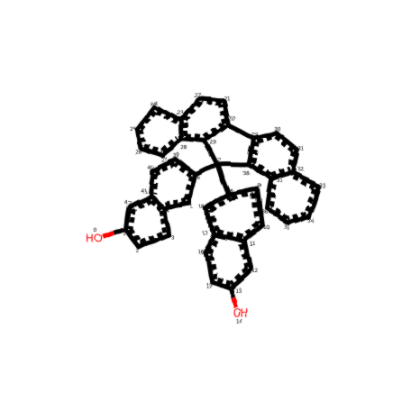 Oc1ccc2cc(C3(c4ccc5cc(O)ccc5c4)c4c(ccc5ccccc45)-c4ccc5ccccc5c43)ccc2c1